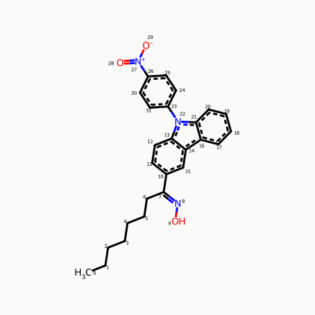 CCCCCCCC(=NO)c1ccc2c(c1)c1ccccc1n2-c1ccc([N+](=O)[O-])cc1